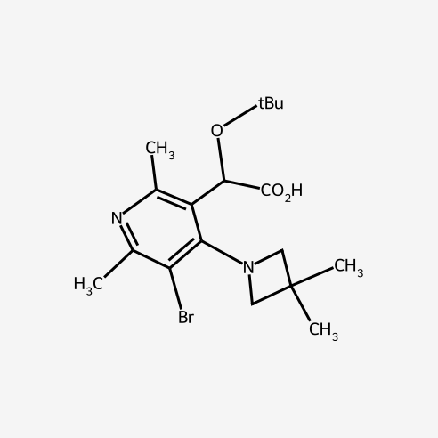 Cc1nc(C)c(C(OC(C)(C)C)C(=O)O)c(N2CC(C)(C)C2)c1Br